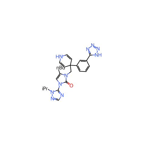 CCCCc1cn(-c2ncnn2C(C)C)c(=O)n1CC1(c2cccc(-c3nnn[nH]3)c2)C=CNC=C1